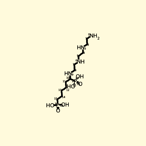 NCCNCCNCCNC(CCCCCP(=O)(O)O)P(=O)(O)O